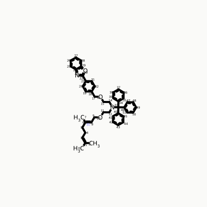 CC(C)=CCC/C(C)=C/COCCN(CCOCc1ccc(-c2nc3ccccc3o2)cc1)C(c1ccccc1)(c1ccccc1)c1ccccc1